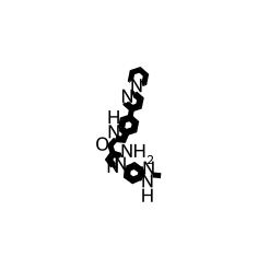 Cc1nc2cc(-n3ncc(C(=O)c4cc5ccc(-c6ccc(N7CCCCC7)nc6)cc5[nH]4)c3N)ccc2[nH]1